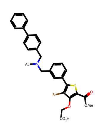 COC(=O)c1sc(-c2cccc(CN(Cc3ccc(-c4ccccc4)cc3)C(C)=O)c2)c(Br)c1OCC(=O)O